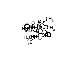 CCCC(CCC)S(=O)(=O)CC(NC(=O)c1cccnc1)C(=O)N[C@@H](Cc1ccccc1)[C@@H](O)[C@@H](OCCOC)C(=O)NCC(C)C